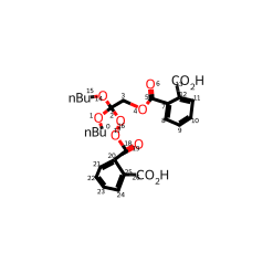 CCCCOC(COC(=O)c1ccccc1C(=O)O)(OCCCC)OOC(=O)c1ccccc1C(=O)O